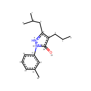 CCCc1c(CC(C)C)[nH]n(-c2cccc(C)c2)c1=O